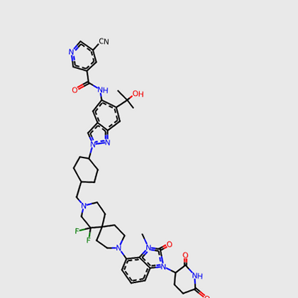 Cn1c(=O)n(C2CCC(=O)NC2=O)c2cccc(N3CCC4(CCN(CC5CCC(n6cc7cc(NC(=O)c8cncc(C#N)c8)c(C(C)(C)O)cc7n6)CC5)CC4(F)F)CC3)c21